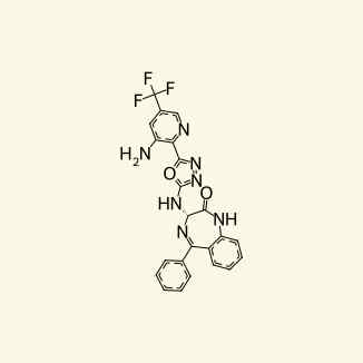 Nc1cc(C(F)(F)F)cnc1-c1nnc(N[C@H]2N=C(c3ccccc3)c3ccccc3NC2=O)o1